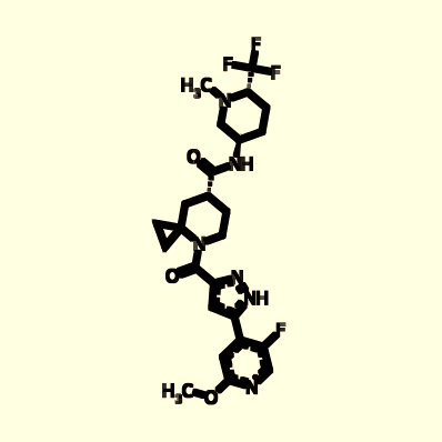 COc1cc(-c2cc(C(=O)N3CC[C@@H](C(=O)N[C@@H]4CC[C@@H](C(F)(F)F)N(C)C4)CC34CC4)n[nH]2)c(F)cn1